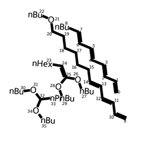 C=CC=CC=CC=CCCCC.C=CC=CC=CCCCCCCOCCCC.CCCCCCC=C(OCCCC)OCCCC.CCCCOC(CCC)OCCCC